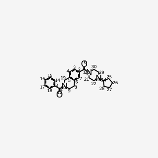 O=C(c1ccc2c(c1)CCN(C(=O)c1ccccc1)C2)N1CCN(C2CCCC2)CC1